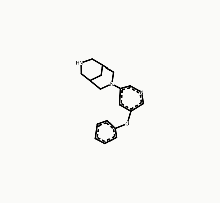 c1ccc(Oc2cncc(N3CC4CNCC(C4)C3)c2)cc1